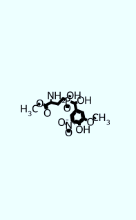 COC(=O)[C@@H](N)CCP(=O)(O)C(O)c1cc(OC)c(O)c([N+](=O)[O-])c1